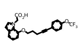 O=C(O)Cn1ccc2cccc(OCCCC#Cc3ccc(OC(F)(F)F)cc3)c21